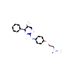 CN(C)CCOc1ccc(Nc2ncc(C#N)c(-c3ccccc3)n2)cc1